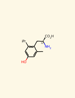 Cc1cc(O)cc(C(C)C)c1C[C@H](N)C(=O)O